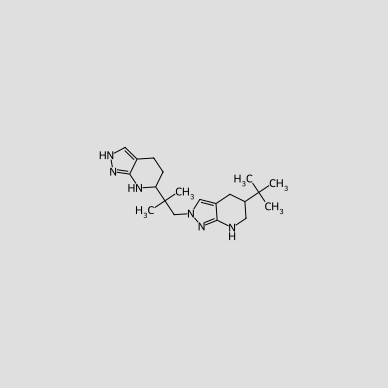 CC(C)(C)C1CNc2nn(CC(C)(C)C3CCc4c[nH]nc4N3)cc2C1